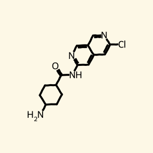 NC1CCC(C(=O)Nc2cc3cc(Cl)ncc3cn2)CC1